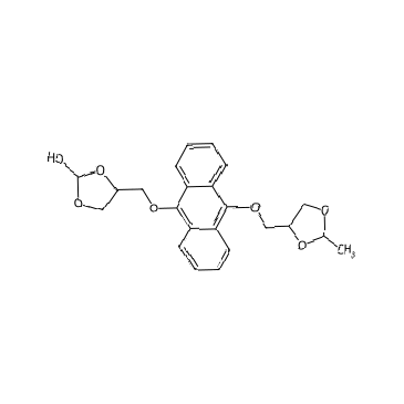 CC1OCC(COc2c3ccccc3c(OCC3COC(O)O3)c3ccccc23)O1